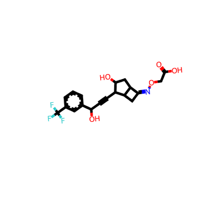 O=C(O)CO/N=C1/CC2C1CC(O)C2C#CC(O)c1cccc(C(F)(F)F)c1